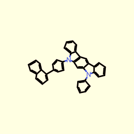 c1ccc(-n2c3ccccc3c3cc4c5ccccc5n(-c5ccc(-c6cccc7ccccc67)cc5)c4cc32)cc1